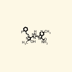 Cc1cc2c(C(N)=O)nn(-c3nc(-c4c(O)c(C)nn4CCc4ccccc4F)n[nH]3)c2cn1